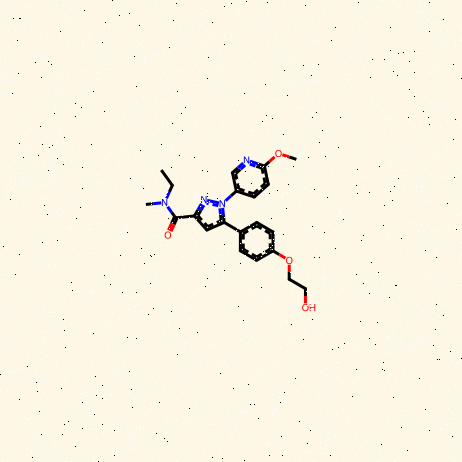 CCN(C)C(=O)c1cc(-c2ccc(OCCO)cc2)n(-c2ccc(OC)nc2)n1